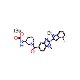 CCn1c(-c2nc3cc(C(=O)N4CCCC(NC(=O)OC(C)(C)C)C4)ccc3n2C)cc2c(C)cccc21